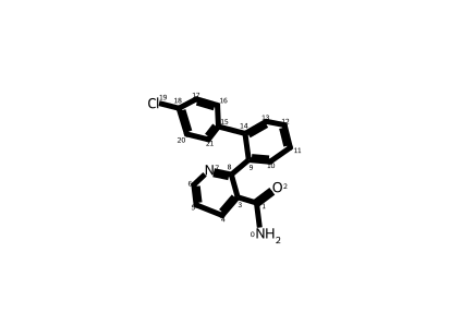 NC(=O)c1cccnc1-c1ccccc1-c1ccc(Cl)cc1